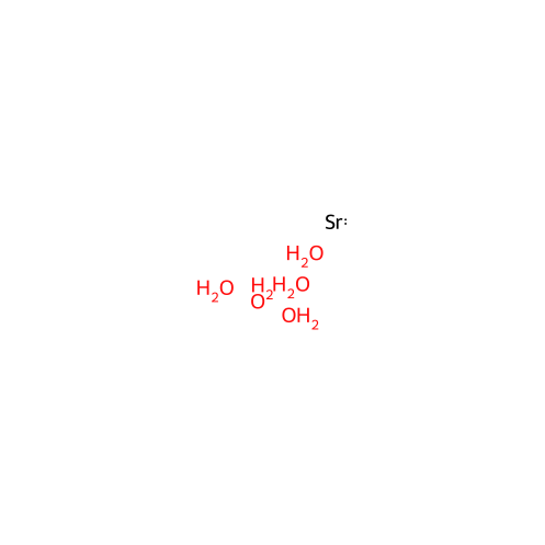 O.O.O.O.O.[Sr]